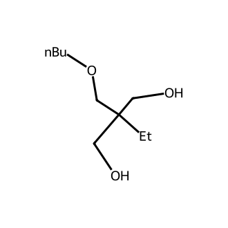 CCCCOCC(CC)(CO)CO